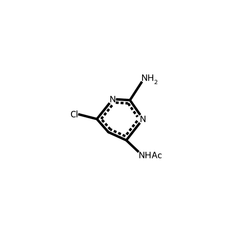 CC(=O)Nc1cc(Cl)nc(N)n1